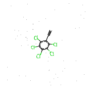 [C]#Cc1c(Cl)c(Cl)c(Cl)c(Cl)c1Cl